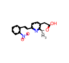 Cc1nc(C=Cc2ccccc2[N+](=O)[O-])ccc1CC(=O)O